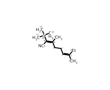 CC/C(C)=C\CC/C(C)=C(\C#N)[Si](C)(C)C